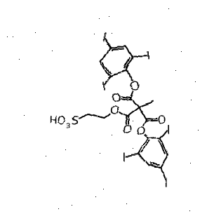 CC(C(=O)OCCS(=O)(=O)O)(C(=O)Oc1c(I)cc(I)cc1I)C(=O)Oc1c(I)cc(I)cc1I